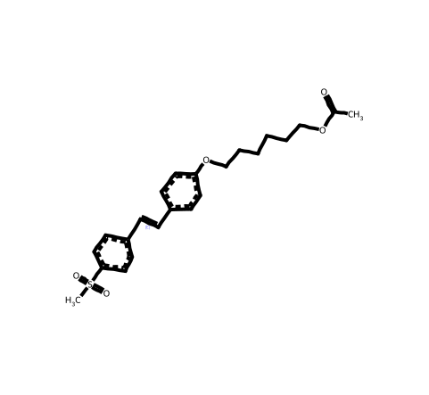 CC(=O)OCCCCCCOc1ccc(/C=C/c2ccc(S(C)(=O)=O)cc2)cc1